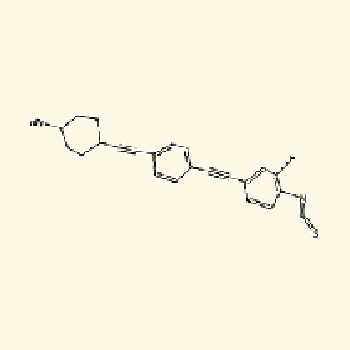 CCCC1CCC(C#Cc2ccc(C#Cc3ccc(N=C=S)c(F)c3)cc2)CC1